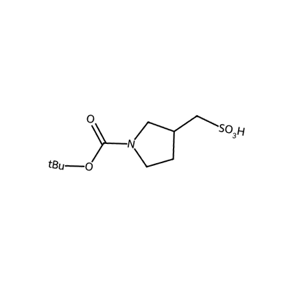 CC(C)(C)OC(=O)N1CCC(CS(=O)(=O)O)C1